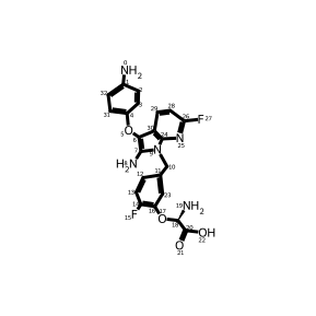 Nc1ccc(Oc2c(N)n(Cc3ccc(F)c(O[C@@H](N)C(=O)O)c3)c3nc(F)ccc23)cc1